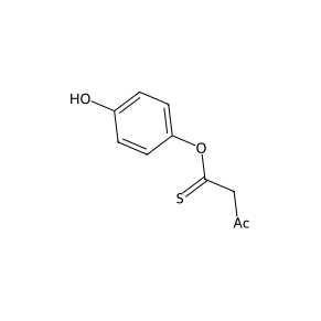 CC(=O)CC(=S)Oc1ccc(O)cc1